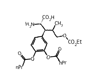 CCCC(=O)Oc1ccc(C(C(C)COC(=O)OCC)[C@H](N)C(=O)O)cc1OC(=O)CCC